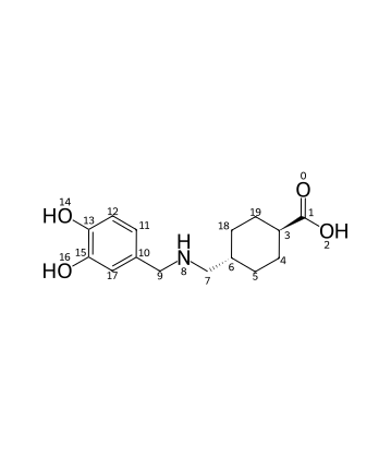 O=C(O)[C@H]1CC[C@H](CNCc2ccc(O)c(O)c2)CC1